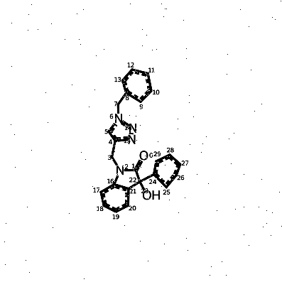 O=C1N(Cc2cn(Cc3ccccc3)nn2)c2ccccc2C1(O)c1ccccc1